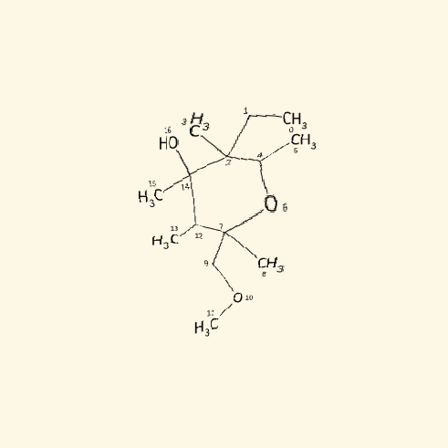 CCC1(C)C(C)OC(C)(COC)C(C)C1(C)O